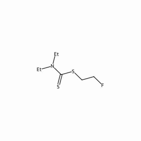 CCN(CC)C(=S)SCCF